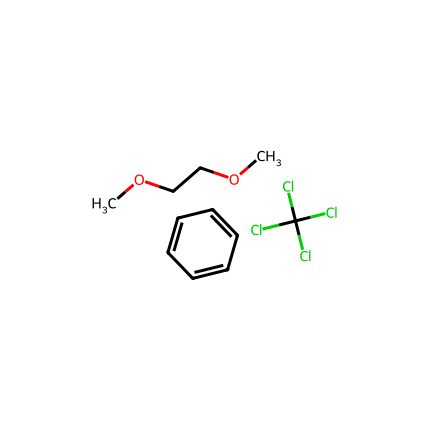 COCCOC.ClC(Cl)(Cl)Cl.c1ccccc1